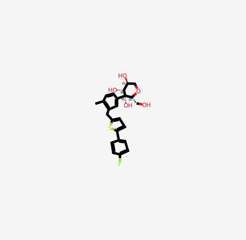 Cc1ccc([C@@]2(O)[C@H](O)[C@@H](O)CO[C@@H]2CO)cc1Cc1ccc(-c2ccc(F)cc2)s1